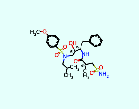 COc1ccc(S(=O)(=O)N(CC(C)C)C[C@@H](O)[C@H](Cc2ccccc2)NC(=O)[C@H](C)CS(N)(=O)=O)cc1